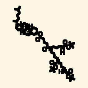 CC(C)CCCC(C)[C@H]1CC[C@H]2[C@@H]3CC=C4C[C@@H](OC(=O)CCCC(=O)N(CCCCN(CCCNC(=O)OC(C)(C)C)C(=O)OC(C)(C)C)CCCNC(=O)OC(C)(C)C)CC[C@]4(C)[C@H]3CC[C@]12C